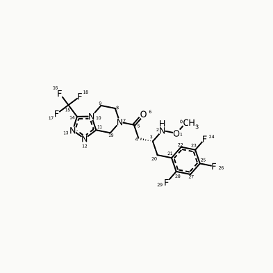 CON[C@@H](CC(=O)N1CCn2c(nnc2C(F)(F)F)C1)Cc1cc(F)c(F)cc1F